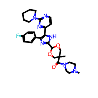 CN1CCN(C(=O)C2(C)COC(c3nc(-c4ccc(F)cc4)c(-c4ccnc(N5CCCCC5)n4)[nH]3)OC2)CC1